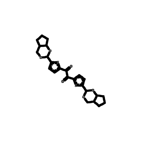 O=C(C(=O)c1ccc(C2OCC3CCCC3O2)s1)c1ccc(C2OCC3CCCC3O2)s1